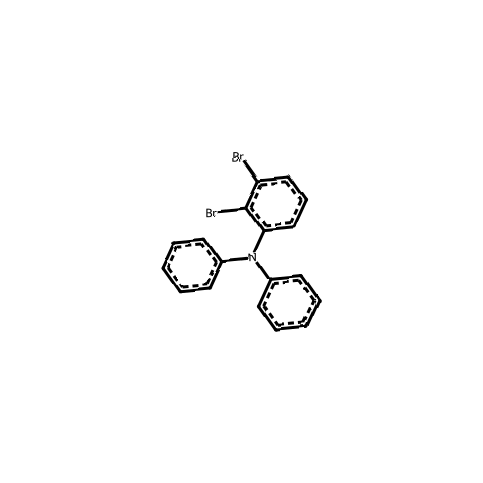 Brc1cccc(N(c2ccccc2)c2ccccc2)c1Br